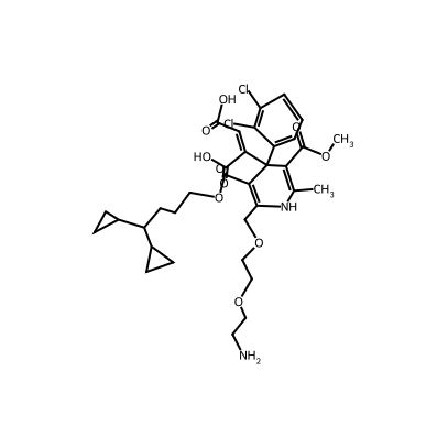 COC(=O)C1=C(C)NC(COCCOCCN)=C(C(=O)OCCCC(C2CC2)C2CC2)C1(/C(=C/C(=O)O)C(=O)O)c1cccc(Cl)c1Cl